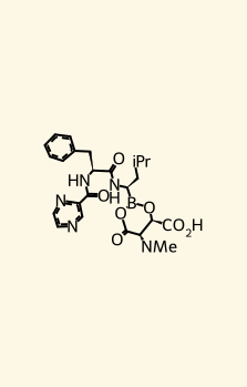 CN[C@H]1C(=O)OB([C@H](CC(C)C)NC(=O)[C@H](Cc2ccccc2)NC(=O)c2cnccn2)O[C@H]1C(=O)O